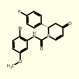 COc1ccc(Br)c(NC(=O)N2C=CC(=O)C[C@H]2c2ccc(F)cc2)c1